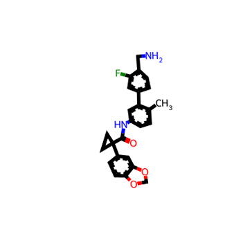 Cc1ccc(NC(=O)C2(c3ccc4c(c3)OCO4)CC2)cc1-c1ccc(CN)c(F)c1